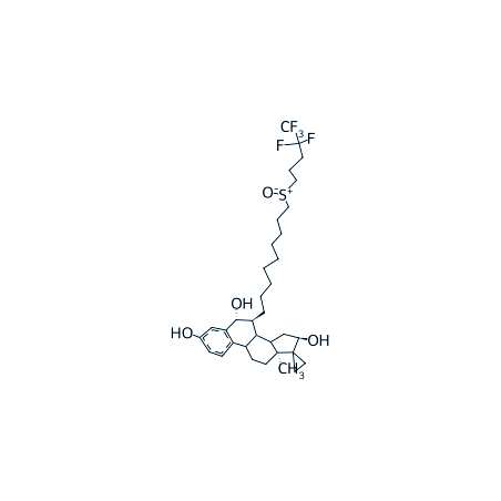 C[C@]12CCC3c4ccc(O)cc4[C@H](O)[C@@H](CCCCCCCCC[S+]([O-])CCCC(F)(F)C(F)(F)F)C3C1C[C@@H](O)C21CC1